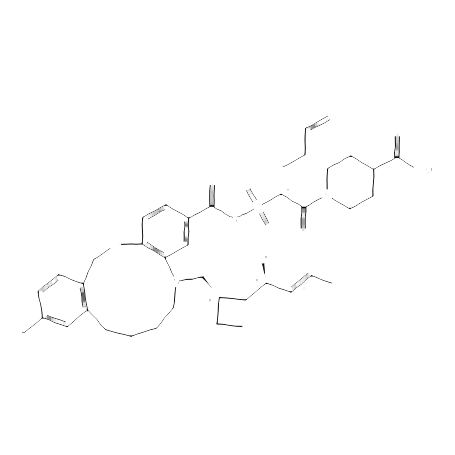 C=CCC[C@H](C(=O)N1CCC(C(=O)OC)CC1)S(=O)(=O)NC(=O)c1ccc2c(c1)N(C[C@@H]1CC[C@H]1[C@@H](O)/C=C/CCC)CCCCc1cc(Cl)ccc1CO2